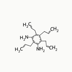 C=CCc1c(N)c(CC=C)c(CC=C)c(CC=C)c1N